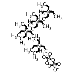 CC[N+](CC)(CC)CC.CC[N+](CC)(CC)CC.CC[N+](CC)(CC)CC.CC[N+](CC)(CC)CC.O=P([O-])([O-])OP(=O)([O-])[O-]